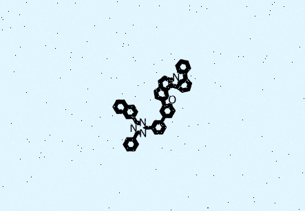 c1ccc(-c2nc(-c3cccc(-c4ccc5oc6c(ccc7ccc8c(c9cccc%10c%11ccccc%11n8c%109)c76)c5c4)c3)nc(-c3ccc4ccccc4c3)n2)cc1